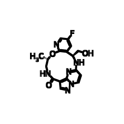 C[C@H]1CNC(=O)c2cnn3ccc(nc23)N[C@H](CO)c2cc(F)cnc2O1